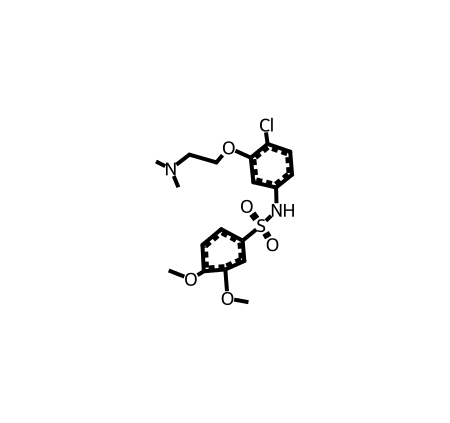 COc1ccc(S(=O)(=O)Nc2ccc(Cl)c(OCCN(C)C)c2)cc1OC